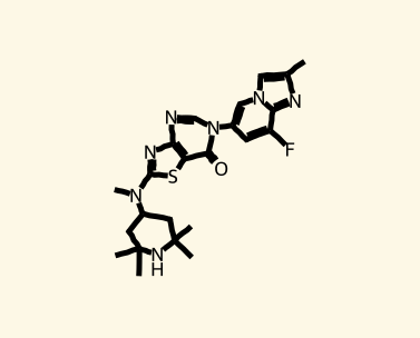 Cc1cn2cc(-n3cnc4nc(N(C)C5CC(C)(C)NC(C)(C)C5)sc4c3=O)cc(F)c2n1